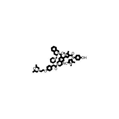 Cc1c(N(C(=O)c2cc(-c3cc4c(cc3C(=O)N3Cc5ccccc5C[C@H]3CN3CCCCC3)CN(C(=O)Cc3ccc(OCCN5CC(C)OC(C)C5)cc3)CC4)n(C)c2C)c2ccc(O)cc2)cc(C#N)n1C